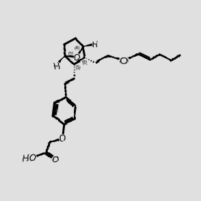 CCCC=COCC[C@@H]1[C@H](CCc2ccc(OCC(=O)O)cc2)[C@@H]2CC[C@H]1O2